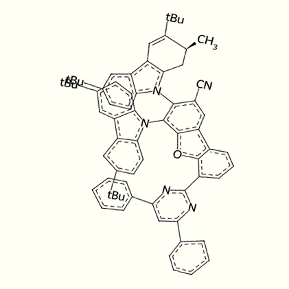 C[C@H]1Cc2c(c3cc(C(C)(C)C)ccc3n2-c2c(C#N)cc3c(oc4c(-c5nc(-c6ccccc6)cc(-c6ccccc6)n5)cccc43)c2-n2c3ccc(C(C)(C)C)cc3c3cc(C(C)(C)C)ccc32)C=C1C(C)(C)C